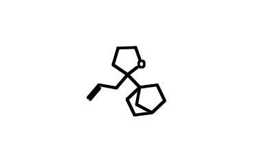 C=CCC1(C23CCC(CC2)C3)CCCO1